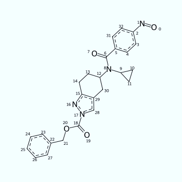 O=Nc1ccc(C(=O)N(C2CC2)C2CCc3nn(C(=O)OCc4ccccc4)cc3C2)cc1